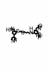 FC(F)(F)Oc1cc(CNCCCCOCCOc2cc(-c3ccnnc3)cc3[nH]ncc23)cc(Cc2cocn2)c1